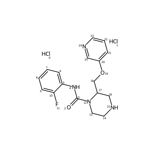 Cl.Cl.O=C(Nc1ccccc1F)N1CCNCC1COc1cccnc1